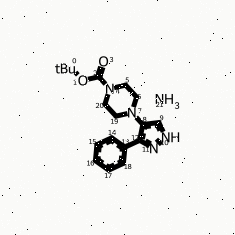 CC(C)(C)OC(=O)N1CCN(c2c[nH]nc2-c2ccccc2)CC1.N